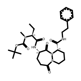 CC[C@@H](C(=O)N[C@H]1CCC(=O)N2CCC[C@@H](C(=O)NCCc3ccccc3)N2C1=O)N(C)C(=O)OC(C)(C)C